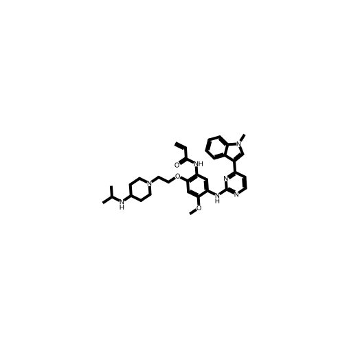 C=CC(=O)Nc1cc(Nc2nccc(-c3cn(C)c4ccccc34)n2)c(OC)cc1OCCN1CCC(NC(C)C)CC1